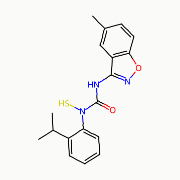 Cc1ccc2onc(NC(=O)N(S)c3ccccc3C(C)C)c2c1